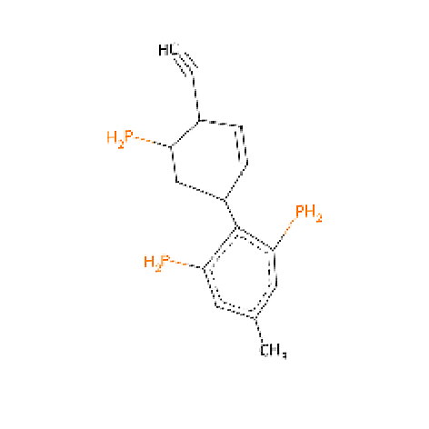 C#CC1C=CC(c2c(P)cc(C)cc2P)CC1P